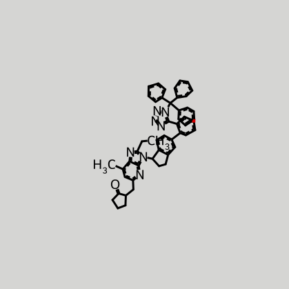 CCc1nc2c(C)cc(CC3CCCC3=O)nc2n1C1CCc2cc(-c3ccccc3-c3nnnn3C(c3ccccc3)(c3ccccc3)c3ccccc3)ccc21